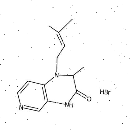 Br.CC(C)=CCN1c2ccncc2NC(=O)C1C